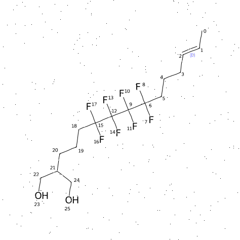 C/C=C/CCCC(F)(F)C(F)(F)C(F)(F)C(F)(F)CCCC(CO)CO